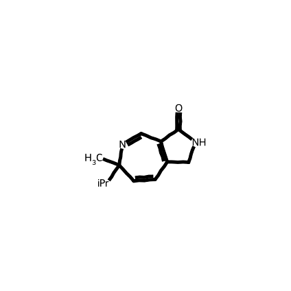 CC(C)C1(C)C=CC2=C(C=N1)C(=O)NC2